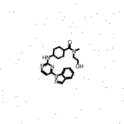 CN(CCO)C(=O)C1CCC(Nc2nccc(-n3ncc4ccccc43)n2)CC1